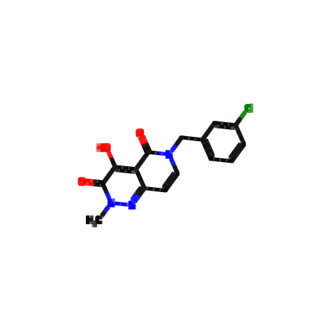 Cn1nc2ccn(Cc3cccc(Cl)c3)c(=O)c2c(O)c1=O